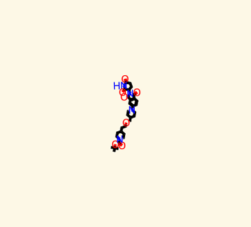 CC(C)(C)OC(=O)N1CCC(CCOCC2CCN(c3ccc4c(c3)C(=O)N(C3CCC(=O)NC3=O)C4=O)CC2)CC1